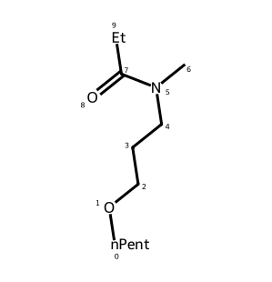 CCCCCOCCCN(C)C(=O)CC